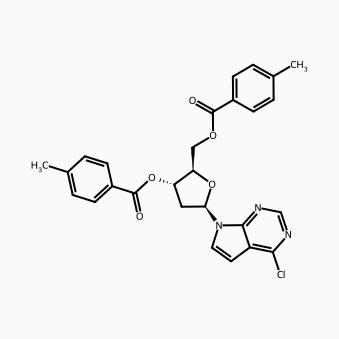 Cc1ccc(C(=O)OC[C@H]2O[C@@H](n3ccc4c(Cl)ncnc43)C[C@@H]2OC(=O)c2ccc(C)cc2)cc1